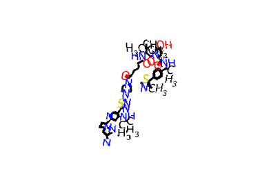 Cc1ncsc1-c1ccc(C(C)NC(=O)[C@@H]2C[C@@H](O)CN2C(=O)C(NC(=O)CCCCC(=O)N2CCN(c3nnc(-c4cnc(-c5ccc6cc(C#N)cnn56)cc4NC(C)C)s3)CC2)C(C)(C)C)cc1